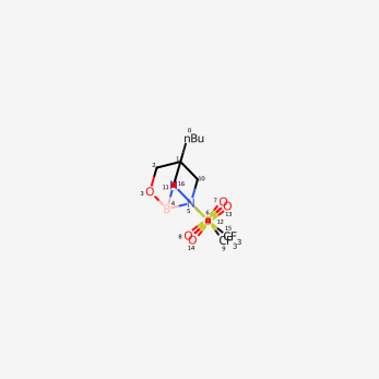 CCCCC12COB(N(S(=O)(=O)C(F)(F)F)C1)N(S(=O)(=O)C(F)(F)F)C2